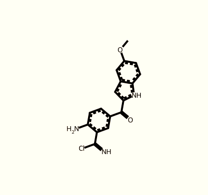 COc1ccc2[nH]c(C(=O)c3ccc(N)c(C(=N)Cl)c3)cc2c1